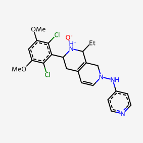 CCC1C2=C(C=CN(Nc3ccncc3)C2)CC(c2c(Cl)c(OC)cc(OC)c2Cl)[NH+]1[O-]